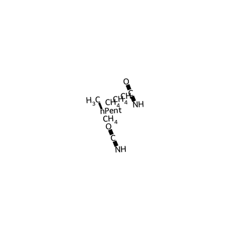 C.C.C.C.CCCCCC.N=C=O.N=C=O